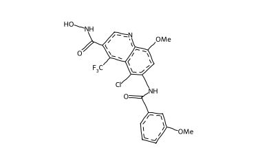 COc1cccc(C(=O)Nc2cc(OC)c3ncc(C(=O)NO)c(C(F)(F)F)c3c2Cl)c1